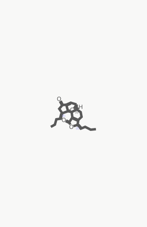 CCC/C=C1/OC(=O)C2=C1CC[C@H]1C3C=C4C(=O)C/C(=C\CCC)C4(CC3)C21